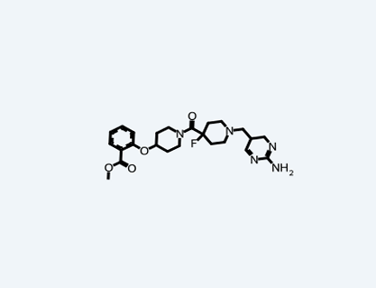 COC(=O)c1ccccc1OC1CCN(C(=O)C2(F)CCN(CC3C=NC(N)=NC3)CC2)CC1